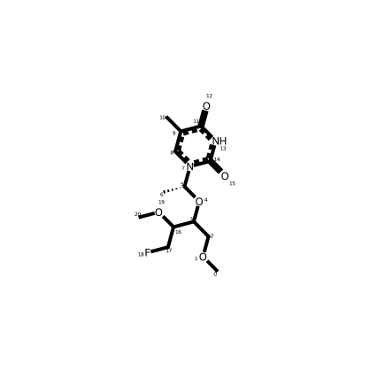 COCC(O[C@H](C)n1cc(C)c(=O)[nH]c1=O)C(CF)OC